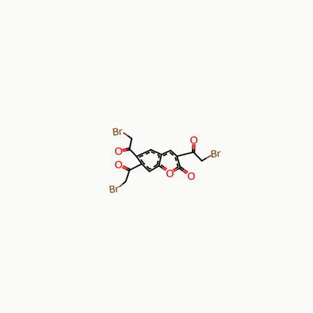 O=C(CBr)c1cc2cc(C(=O)CBr)c(=O)oc2cc1C(=O)CBr